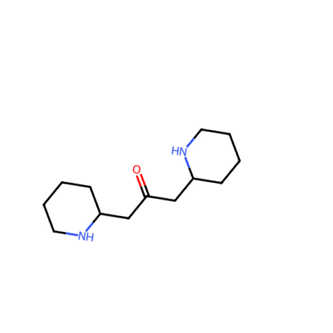 O=C(CC1CCCCN1)CC1CCCCN1